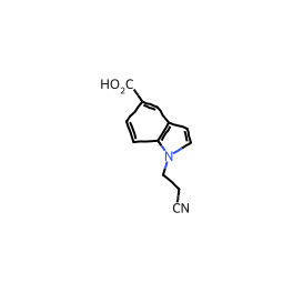 N#CCCn1ccc2cc(C(=O)O)ccc21